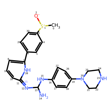 C[S+]([O-])c1ccc(-c2ccc/c(=N/C(N)Nc3ccc(N4CCNCC4)cc3)[nH]2)cc1